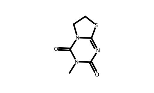 Cn1c(=O)nc2n(c1=O)CCS2